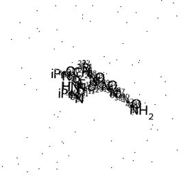 Cc1cc(F)c(Nc2nc(-c3ccc4c(c3)N([C@H]3C[C@@H](N5CCCCC5)C3)C(=O)C43CCN(C(=O)CN4CCC(CCCCC(N)=O)CC4)CC3)cc3ncn(C(C)C)c23)cc1C(=O)NC(C)C